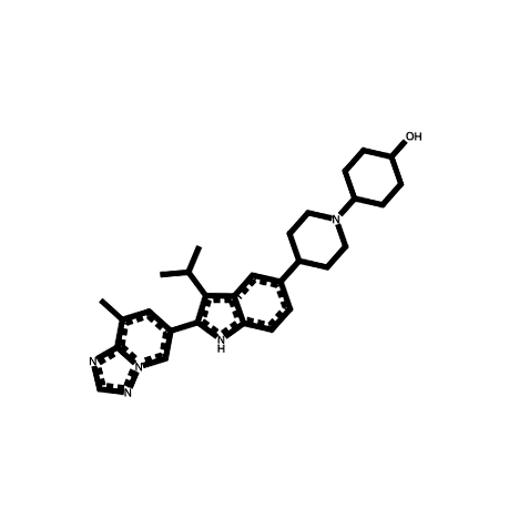 Cc1cc(-c2[nH]c3ccc(C4CCN(C5CCC(O)CC5)CC4)cc3c2C(C)C)cn2ncnc12